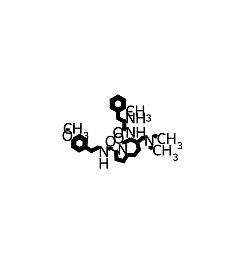 CCN(CC)CC1CCC2CC[C@@H](C(=O)NCCc3ccc(OC)cc3)N2C(=O)C1NC(=O)C(Cc1ccccc1)NC